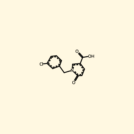 O=C(O)c1ccc(=O)n(Cc2cccc(Cl)c2)c1